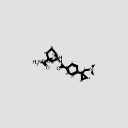 CN(C)CC1(c2ccc(C(=O)NC3[CH]C4(C(N)=O)CCC3O4)cc2)CC1